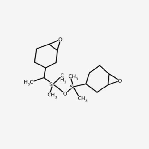 CC(C1CCC2OC2C1)[Si](C)(C)O[Si](C)(C)C1CCC2OC2C1